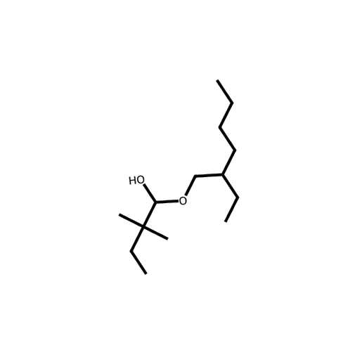 CCCCC(CC)COC(O)C(C)(C)CC